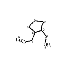 OCC1[CH]CCC1CO